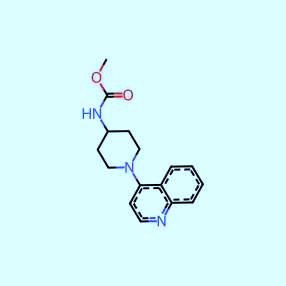 COC(=O)NC1CCN(c2ccnc3ccccc23)CC1